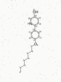 CCCCCCCCOc1ccc(-c2ccc(O)cn2)cc1